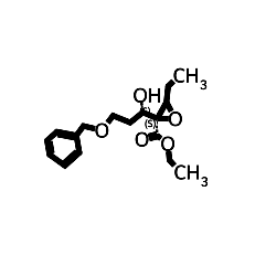 CCOC(=O)[C@@]1([C@@H](O)CCOCc2ccccc2)OC1CC